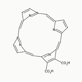 O=C(O)C1=C(C(=O)O)C2=NC1=CC1=NC(=CC3=NC(=CC4=NC(=C2)C=C4)C=C3)C=C1